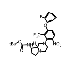 CC(C)(C)OC(=O)N[C@@H]1CCN2CCN(c3c([N+](=O)[O-])ccc(Oc4ccccc4F)c3C(F)(F)F)C[C@@H]12